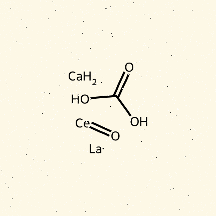 O=C(O)O.[CaH2].[La].[O]=[Ce]